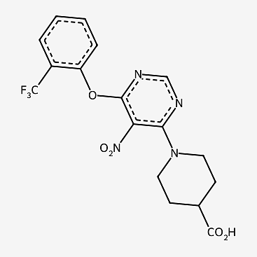 O=C(O)C1CCN(c2ncnc(Oc3ccccc3C(F)(F)F)c2[N+](=O)[O-])CC1